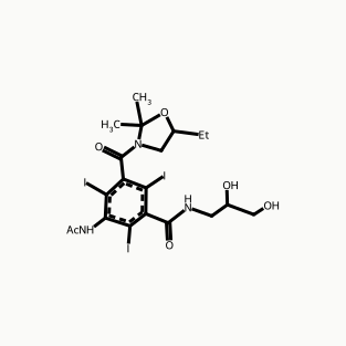 CCC1CN(C(=O)c2c(I)c(NC(C)=O)c(I)c(C(=O)NCC(O)CO)c2I)C(C)(C)O1